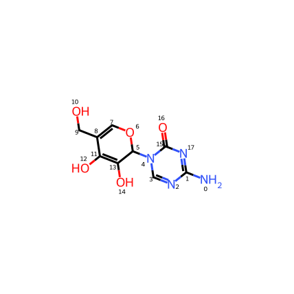 Nc1ncn(C2OC=C(CO)C(O)=C2O)c(=O)n1